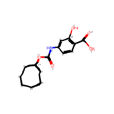 O=C(Nc1ccc(C(=O)O)c(O)c1)OC1CCCCCC1